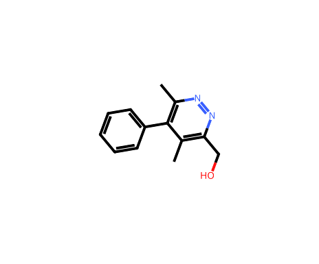 Cc1nnc(CO)c(C)c1-c1ccccc1